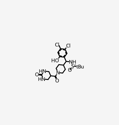 CC(C)(C)[S+]([O-])NC(c1cc(Cl)c(Cl)cc1O)C1CCN(C(=O)C2CNC(=O)NC2)CC1